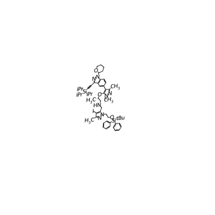 Cc1nn(CCO[Si](c2ccccc2)(c2ccccc2)C(C)(C)C)c(CNC[C@H](C)Oc2c(-c3ccc4c(c3)c(C#C[Si](C(C)C)(C(C)C)C(C)C)nn4C3CCCCO3)c(C)nn2C)c1I